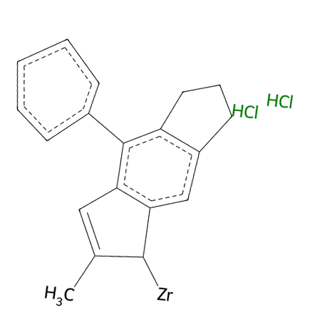 CC1=Cc2c(cc3c(c2-c2ccccc2)CCC3)[CH]1[Zr].Cl.Cl